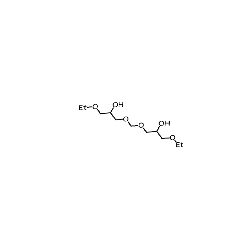 CCOCC(O)COCOCC(O)COCC